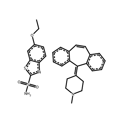 CCOc1ccc2nc(S(N)(=O)=O)sc2c1.CN1CCC(=C2c3ccccc3C=Cc3ccccc32)CC1